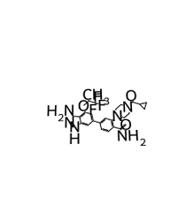 CC(Oc1cc(-c2ccc(C(N)=O)c(N3CCN(C(=O)C4CC4)CC3)c2)cc2[nH]nc(N)c12)C(F)(F)F